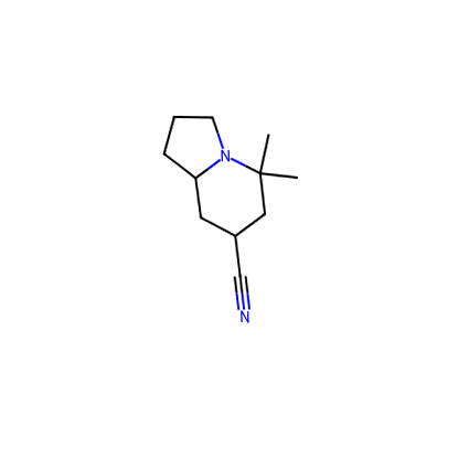 CC1(C)CC(C#N)CC2CCCN21